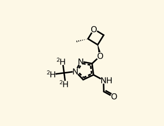 [2H]C([2H])([2H])n1cc(NC=O)c(O[C@@H]2CO[C@H]2C)n1